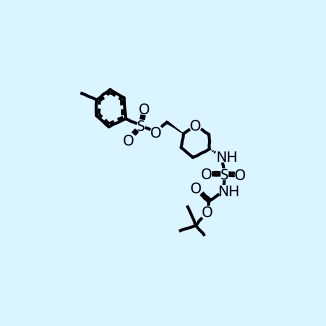 Cc1ccc(S(=O)(=O)OC[C@@H]2CC[C@@H](NS(=O)(=O)NC(=O)OC(C)(C)C)CO2)cc1